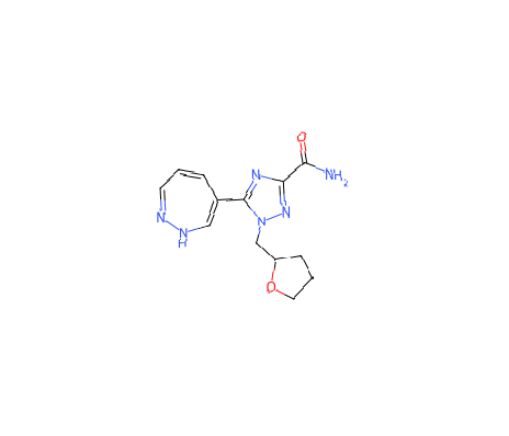 NC(=O)c1nc(C2=CNN=CC=C2)n(CC2CCCO2)n1